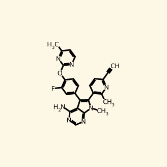 C#Cc1ccc(-c2c(-c3ccc(Oc4nccc(C)n4)c(F)c3)c3c(N)ncnc3n2C)c(C)n1